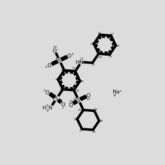 NS(=O)(=O)c1cc(S(=O)(=O)[O-])c(NCc2ccccc2)cc1S(=O)(=O)C1CCCCC1.[Na+]